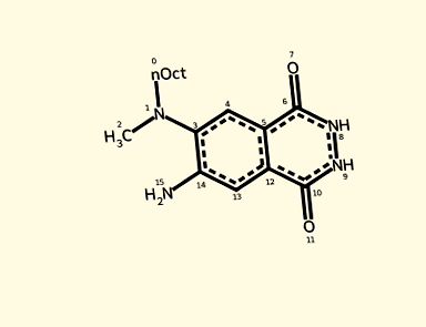 CCCCCCCCN(C)c1cc2c(=O)[nH][nH]c(=O)c2cc1N